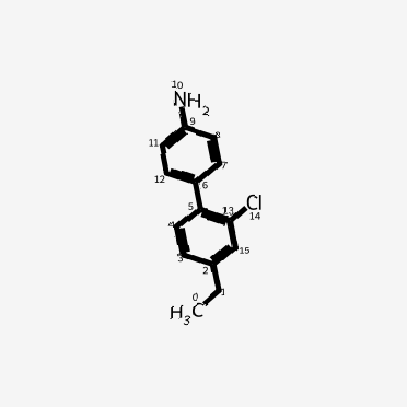 CCc1ccc(-c2ccc(N)cc2)c(Cl)c1